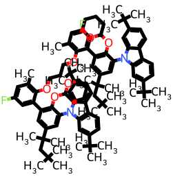 Cc1cc(F)cc(-c2cc(C(C)(C)CC(C)(C)C)cc(-n3c4cc(C(C)(C)C)ccc4c4ccc(C(C)(C)C)cc43)c2OC2CCCCO2)c1OCCCOc1c(C)cc(F)cc1-c1cc(C(C)(C)CC(C)(C)C)cc(-n2c3cc(C(C)(C)C)ccc3c3ccc(C(C)(C)C)cc32)c1OC1CCCCO1